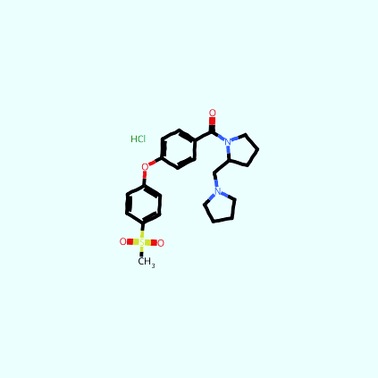 CS(=O)(=O)c1ccc(Oc2ccc(C(=O)N3CCCC3CN3CCCC3)cc2)cc1.Cl